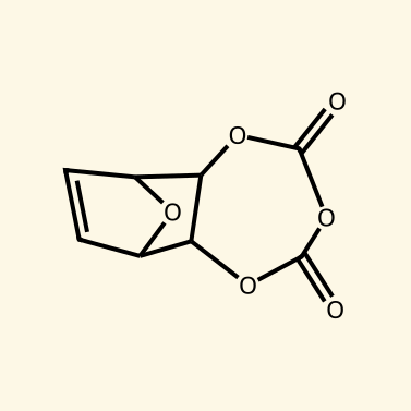 O=C1OC(=O)OC2C3C=CC(O3)C2O1